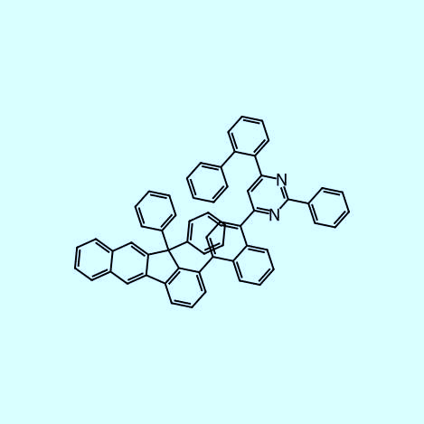 c1ccc(-c2nc(-c3ccccc3-c3ccccc3)cc(-c3ccc(-c4cccc5c4C(c4ccccc4)(c4ccccc4)c4cc6ccccc6cc4-5)c4ccccc34)n2)cc1